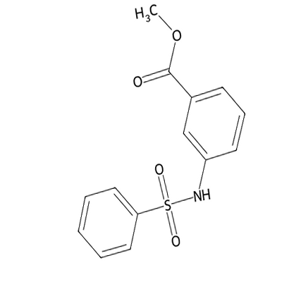 COC(=O)c1cccc(NS(=O)(=O)c2ccccc2)c1